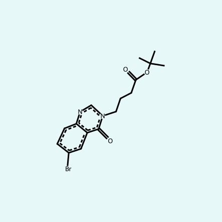 CC(C)(C)OC(=O)CCCn1cnc2ccc(Br)cc2c1=O